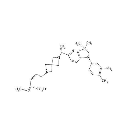 C=C(c1ccc2c(n1)C(C)(C)CN2c1ccc(C)c(P)c1)N1CC2(CN(C/C=C\C(=C/C)C(=O)OCC)C2)C1